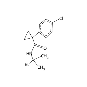 CCC(C)(C)NC(=O)C1(c2ccc(Cl)cc2)CC1